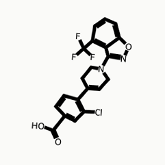 O=C(O)c1ccc(C2=CCN(c3noc4cccc(C(F)(F)F)c34)CC2)c(Cl)c1